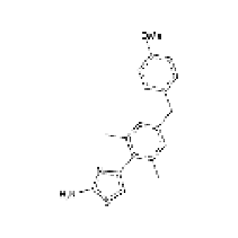 COc1ccc(Cc2cc(C)c(-c3csc(N)n3)c(C)c2)cc1